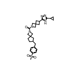 CS(=O)(=O)c1ccc(CC2CCC3(C2)CN(C(=O)N2CC4(CC(c5nnc(C6CC6)[nH]5)C4)C2)C3)cc1